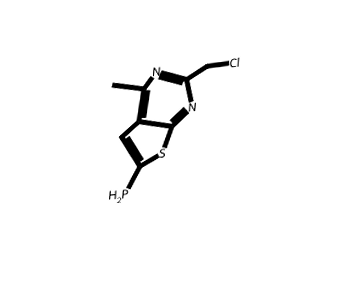 Cc1nc(CCl)nc2sc(P)cc12